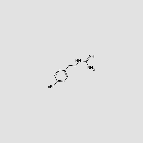 CCCc1ccc(CCNC(=N)N)cc1